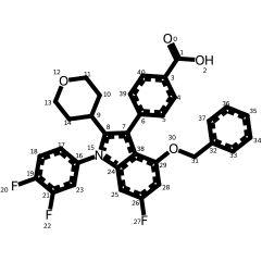 O=C(O)c1ccc(-c2c(C3CCOCC3)n(-c3ccc(F)c(F)c3)c3cc(F)cc(OCc4ccccc4)c23)cc1